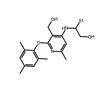 CCC(CO)Nc1cc(C)nc(Oc2c(C)cc(C)cc2C)c1CO